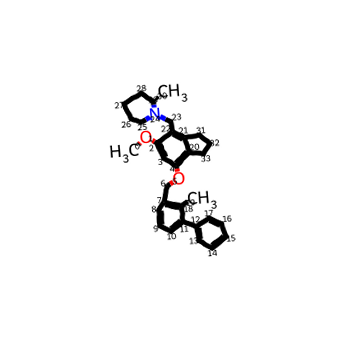 COc1cc(OCc2cccc(-c3ccccc3)c2C)c2c(c1CN1CCCC[C@H]1C)CCC2